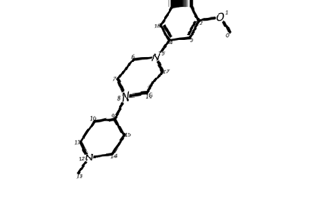 COC1=CC(N2CCN(C3CCN(C)CC3)CC2)=CC[CH]1